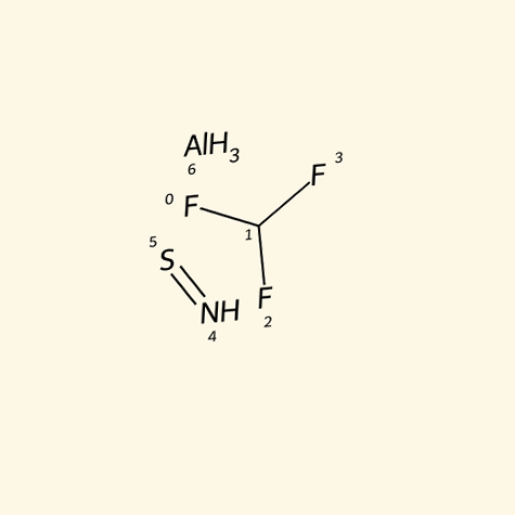 FC(F)F.N=S.[AlH3]